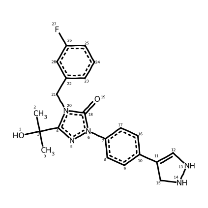 CC(C)(O)c1nn(-c2ccc(C3=CNNC3)cc2)c(=O)n1Cc1cccc(F)c1